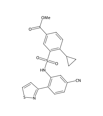 COC(=O)c1ccc(C2CC2)c(S(=O)(=O)Nc2cc(C#N)ccc2-c2ccsn2)c1